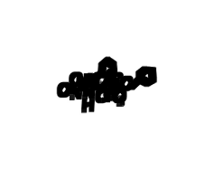 C[C@H]1C(S(=O)(=O)C(=O)OCc2ccccc2)c2ccccc2C[C@H]1Nc1nc(=O)o[nH]1